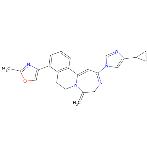 C=C1CN=C(n2cnc(C3CC3)c2)C=C2c3cccc(-c4coc(C)n4)c3CCN12